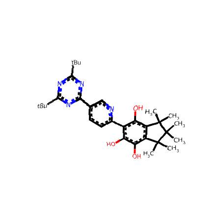 CC(C)(C)c1nc(-c2ccc(-c3c(O)c(O)c4c(c3O)C(C)(C)C(C)(C)C4(C)C)nc2)nc(C(C)(C)C)n1